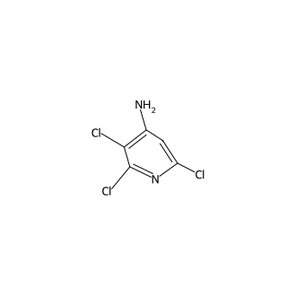 Nc1cc(Cl)nc(Cl)c1Cl